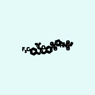 C=CS(=O)(=O)NC[C@H]1CCN(S(=O)(=O)c2ccc(CN(Cc3ccc(C(F)(F)F)cc3)C(=O)CN(C)C)cc2)C1